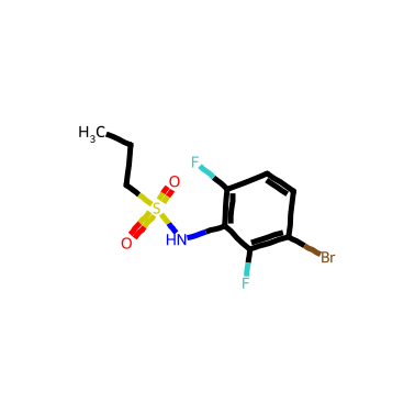 CCCS(=O)(=O)Nc1c(F)ccc(Br)c1F